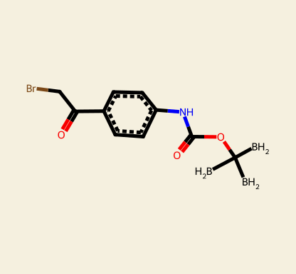 BC(B)(B)OC(=O)Nc1ccc(C(=O)CBr)cc1